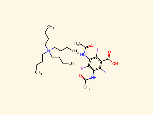 CC(=O)Nc1c(I)c(NC(C)=O)c(I)c(C(=O)O)c1I.CCCC[N+](CCCC)(CCCC)CCCC